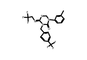 Cc1cccc(N2CSC(=NCC(F)(F)F)N(Cc3ccc(C(F)(F)F)cc3)C2=O)c1